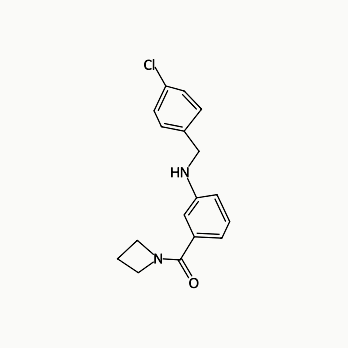 O=C(c1cccc(NCc2ccc(Cl)cc2)c1)N1CCC1